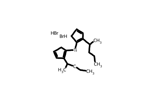 Br.Br.CCCC(C)C1=[C]([Ti][C]2=C(C(C)CCC)C=CC2)CC=C1